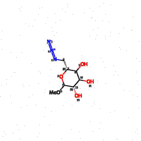 COC1O[C@H](CN=[N+]=[N-])C(O)C(O)[C@@H]1O